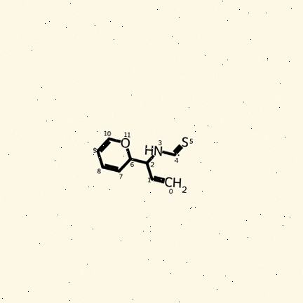 C=CC(N[C]=S)C1C=CC=CO1